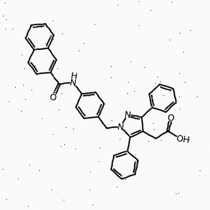 O=C(O)Cc1c(-c2ccccc2)nn(Cc2ccc(NC(=O)c3ccc4ccccc4c3)cc2)c1-c1ccccc1